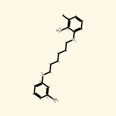 Cc1cccc(OCCCCCCOc2cccc(N)c2)c1N